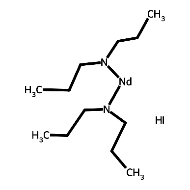 CCC[N](CCC)[Nd][N](CCC)CCC.I